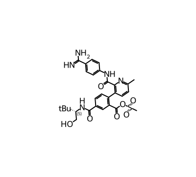 Cc1ccc(-c2ccc(C(=O)N[C@H](CO)C(C)(C)C)cc2C(=O)OS(C)(=O)=O)c(C(=O)Nc2ccc(C(=N)N)cc2)n1